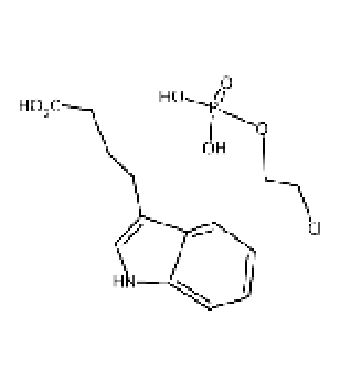 O=C(O)CCCc1c[nH]c2ccccc12.O=P(O)(O)OCCCl